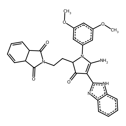 COc1cc(OC)cc(N2C(N)=C(c3nc4ccccc4[nH]3)C(=O)C2CCN2C(=O)C3C=CC=CC3C2=O)c1